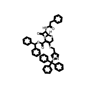 O=C(Cc1ccccc1)N[C@@H]1C(=O)N2C(C(=O)OC(c3ccccc3)c3ccccc3)=C(SCc3cnn(C(c4ccccc4)(c4ccccc4)c4ccccc4)c3)CS[C@H]12